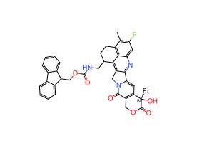 CC[C@@]1(O)C(=O)OCc2c1cc1n(c2=O)Cc2c-1nc1cc(F)c(C)c3c1c2C(CNC(=O)OCC1c2ccccc2-c2ccccc21)CC3